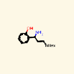 CCCCCCCCC(N)c1ccccc1O